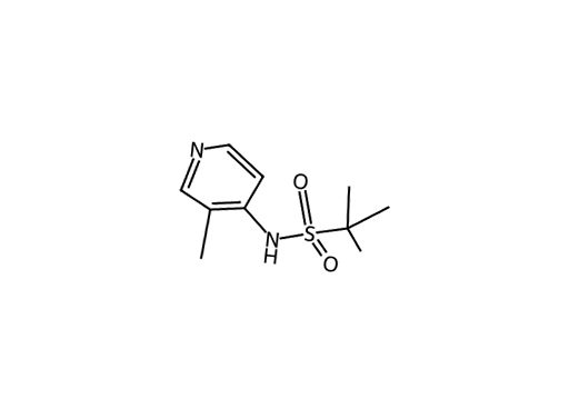 Cc1cnccc1NS(=O)(=O)C(C)(C)C